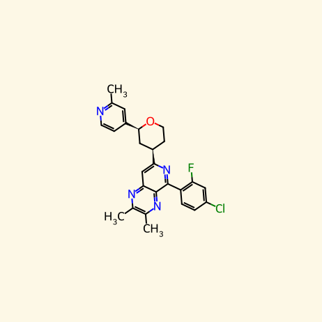 Cc1cc([C@@H]2C[C@H](c3cc4nc(C)c(C)nc4c(-c4ccc(Cl)cc4F)n3)CCO2)ccn1